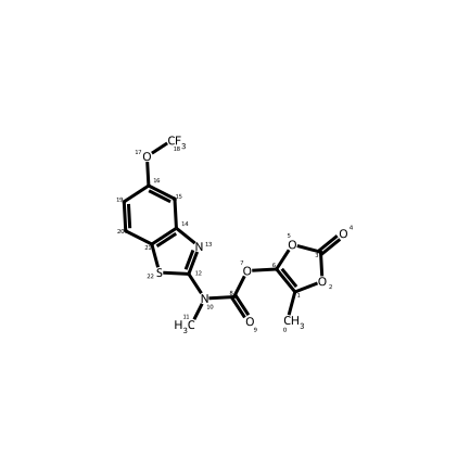 Cc1oc(=O)oc1OC(=O)N(C)c1nc2cc(OC(F)(F)F)ccc2s1